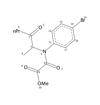 CCCC(=O)C(C)N(C(=O)C(=O)OC)c1ccc(Br)cc1